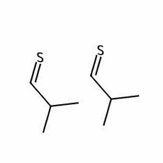 CC(C)C=S.CC(C)C=S